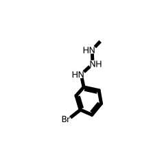 CNNNc1cccc(Br)c1